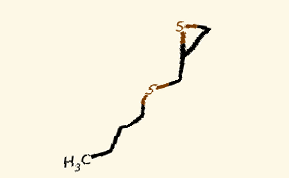 CCCCSCC1CS1